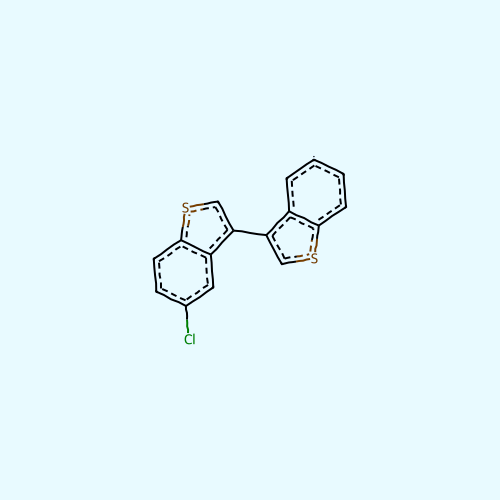 Clc1ccc2scc(-c3csc4cc[c]cc34)c2c1